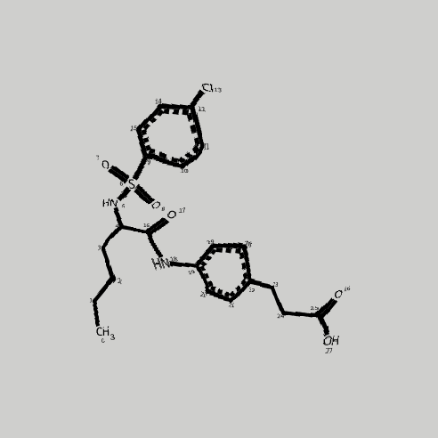 CCCCC(NS(=O)(=O)c1ccc(Cl)cc1)C(=O)Nc1ccc(CCC(=O)O)cc1